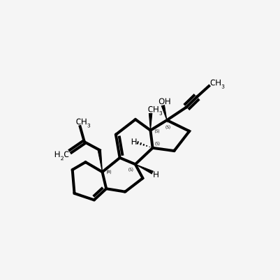 C=C(C)C[C@]12CCCC=C1CC[C@@H]1C2=CC[C@@]2(C)[C@H]1CC[C@@]2(O)C#CC